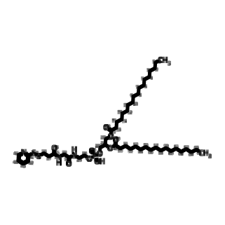 CCCCCCCCCCCCCCCCCC(=O)OCC(COP(=O)(O)OCCNC(=O)CNC(=O)CCSSc1ccccn1)OC(=O)CCCCCCCCCCCCCCCCC